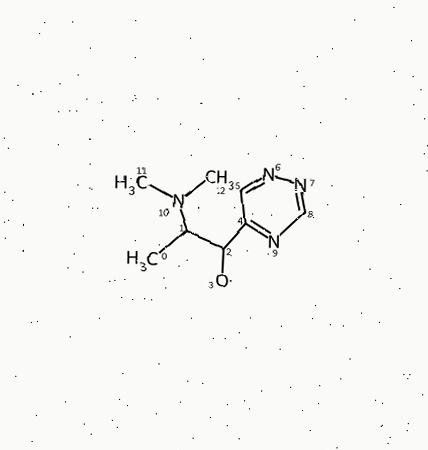 CC(C([O])c1cnncn1)N(C)C